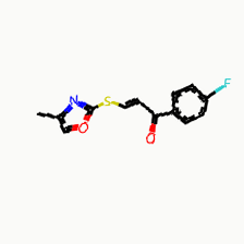 Cc1coc(S/C=C/C(=O)c2ccc(F)cc2)n1